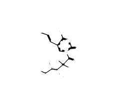 Nc1nc(=O)n(C(=O)C(F)(F)[C@@H](O)[C@H](O)CO)cc1C=CCl